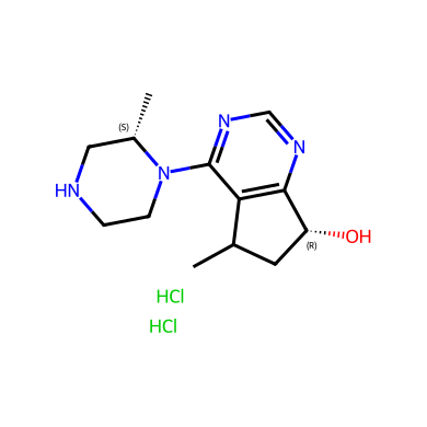 CC1C[C@@H](O)c2ncnc(N3CCNC[C@@H]3C)c21.Cl.Cl